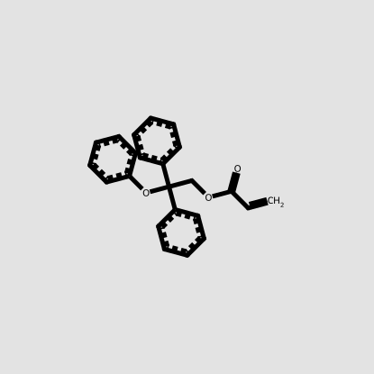 C=CC(=O)OCC(Oc1ccccc1)(c1ccccc1)c1ccccc1